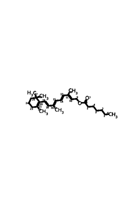 CCCCCCC(=O)OCC=C(C)C=CC=C(C)C=CC1=C(C)CCCC1(C)C